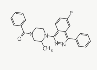 CC1CN(C(=O)c2ccccc2)CCN1c1nnc(-c2ccccc2)c2cc(F)ccc12